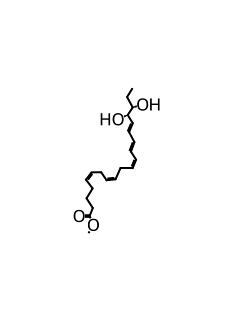 CC[C@@H](O)[C@H](O)/C=C/C=C/C=C\C/C=C\C/C=C\CCCC(=O)OC